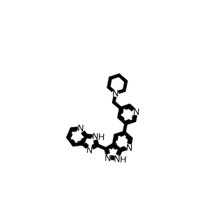 c1cnc2[nH]c(-c3n[nH]c4ncc(-c5cncc(CN6CCCCC6)c5)cc34)nc2c1